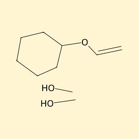 C=COC1CCCCC1.CO.CO